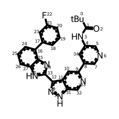 CC(C)(C)C(=O)Nc1cncc(-c2cc3c(-c4nc5c(-c6cccc(F)c6)cccc5[nH]4)n[nH]c3cn2)c1